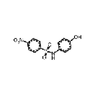 O=[N+]([O-])c1ccc(S(=O)(=O)Nc2ccc(O)cc2)cc1